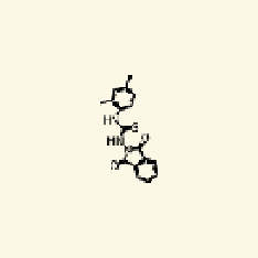 Cc1ccc(NC(=S)NN2C(=O)c3ccccc3C2=O)c(C)c1